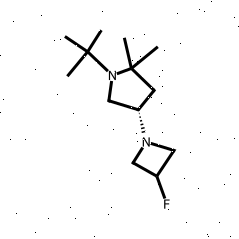 CC(C)(C)N1C[C@@H](N2CC(F)C2)CC1(C)C